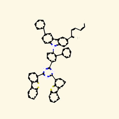 C=C(/C=C\C=C/C)c1ccc2c(c1)c1cc(-c3ccccc3)ccc1n2-c1ccc(-c2nc(-c3cccc4c3sc3ccccc34)nc(-c3cccc4c3sc3ccccc34)n2)cc1-c1ccccc1